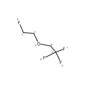 FCCOCC(F)(F)F